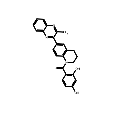 O=C(c1ccc(O)cc1O)N1CCCc2cc(-c3nc4ccccc4nc3C(F)(F)F)ccc21